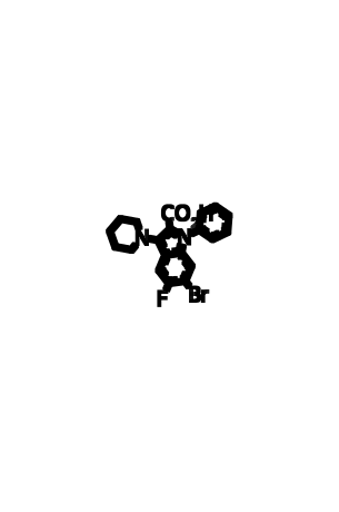 O=C(O)c1c(N2CCCCC2)c2cc(F)c(Br)cc2n1-c1ccccc1